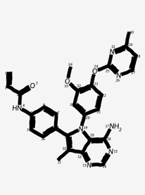 C=CC(=O)Nc1ccc(-c2c(C)c3ncnc(N)c3n2-c2ccc(Oc3nccc(C)n3)c(OC)c2)cc1